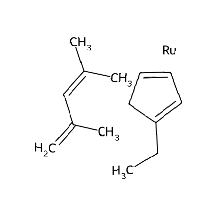 C=C(C)C=C(C)C.CCC1=CC=CC1.[Ru]